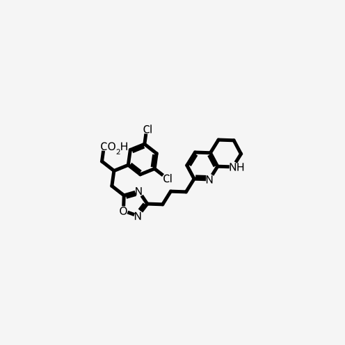 O=C(O)CC(Cc1nc(CCCc2ccc3c(n2)NCCC3)no1)c1cc(Cl)cc(Cl)c1